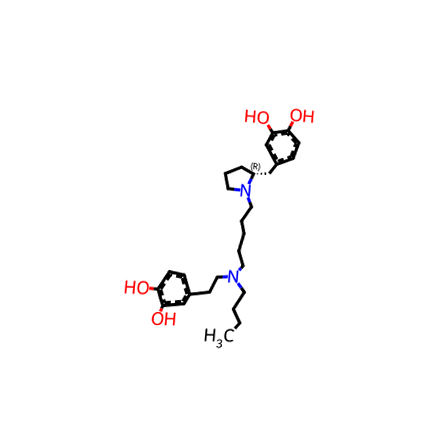 CCCCN(CCCCCN1CCC[C@@H]1Cc1ccc(O)c(O)c1)CCc1ccc(O)c(O)c1